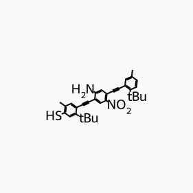 Cc1ccc(C(C)(C)C)c(C#Cc2cc(N)c(C#Cc3cc(C)c(S)cc3C(C)(C)C)cc2[N+](=O)[O-])c1